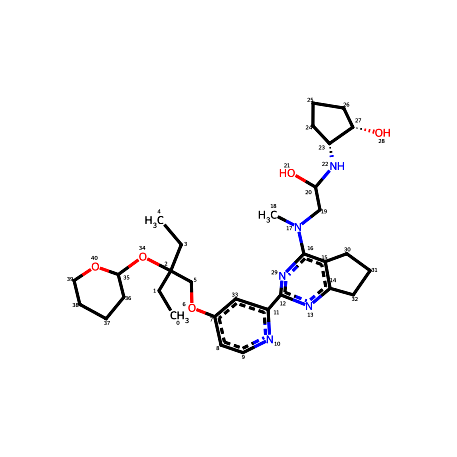 CCC(CC)(COc1ccnc(-c2nc3c(c(N(C)CC(O)N[C@@H]4CCC[C@@H]4O)n2)CCC3)c1)OC1CCCCO1